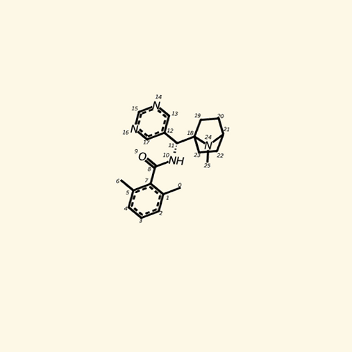 Cc1cccc(C)c1C(=O)N[C@H](c1cncnc1)C12CCC(CC1)N2C